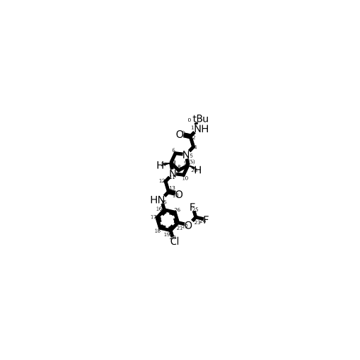 CC(C)(C)NC(=O)CN1C[C@@H]2C[C@H]1CN2CC(=O)Nc1ccc(Cl)c(OC(F)F)c1